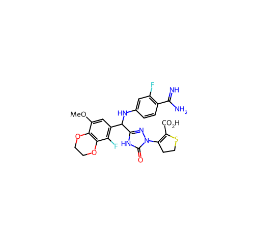 COc1cc(C(Nc2ccc(C(=N)N)c(F)c2)c2nn(C3=C(C(=O)O)SCC3)c(=O)[nH]2)c(F)c2c1OCCO2